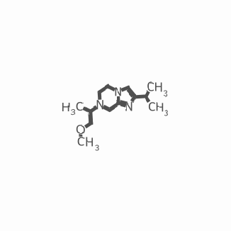 COCC(C)N1CCn2cc(C(C)C)nc2C1